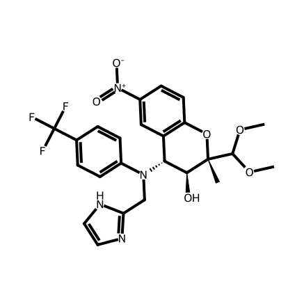 COC(OC)[C@@]1(C)Oc2ccc([N+](=O)[O-])cc2[C@@H](N(Cc2ncc[nH]2)c2ccc(C(F)(F)F)cc2)[C@@H]1O